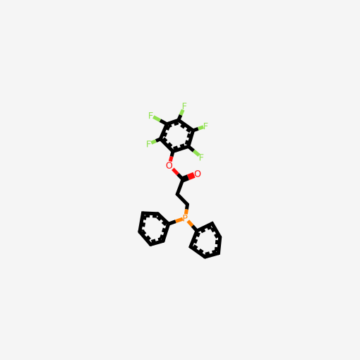 O=C(CCP(c1ccccc1)c1ccccc1)Oc1c(F)c(F)c(F)c(F)c1F